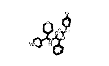 O=C(Nc1ccc(Cl)cc1)OC(C(=O)NC(C1CCNCC1)C1CCOCC1)c1ccccc1